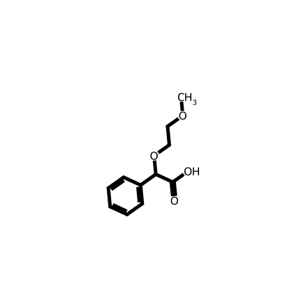 COCCOC(C(=O)O)c1ccccc1